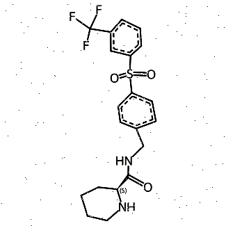 O=C(NCc1ccc(S(=O)(=O)c2cccc(C(F)(F)F)c2)cc1)[C@@H]1CCCCN1